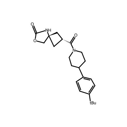 CC(C)(C)c1ccc(C2CCN(C(=O)[C@H]3C[C@]4(COC(=O)N4)C3)CC2)cc1